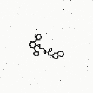 ClC(CC1CCC2CCCCC2C1)OCCOc1c(-c2ccccc2)cccc1-c1ccccc1